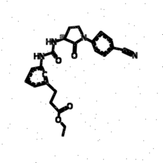 CCOC(=O)CCc1cccc(NC(=O)N[C@H]2CCN(c3ccc(C#N)cc3)C2=O)c1